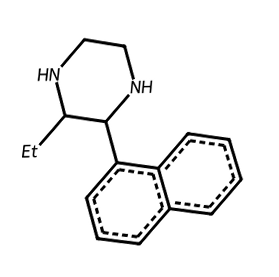 CCC1NCCNC1c1cccc2ccccc12